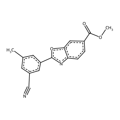 COC(=O)c1ccc2nc(-c3cc(C)cc(C#N)c3)oc2c1